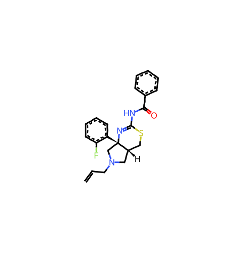 C=CCN1C[C@H]2CSC(NC(=O)c3ccccc3)=N[C@@]2(c2ccccc2F)C1